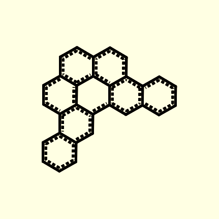 c1ccc2c(c1)cc1c3cc4ccccc4c4ccc5ccc6ccc2c1c6c5c43